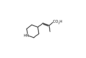 CC(=CC1CCNCC1)C(=O)O